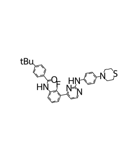 CC(C)(C)c1ccc(C(=O)Nc2cccc(-c3ccnc(Nc4ccc(N5CCSCC5)cc4)n3)c2F)cc1